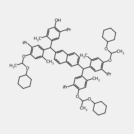 Cc1cc(O)c(C(C)C)cc1C(c1ccc2cc(C(c3cc(C(C)C)c(OC(C)OC4CCCCC4)cc3C)c3cc(C(C)C)c(OC(C)OC4CCCCC4)cc3C)ccc2c1)c1cc(C(C)C)c(OC(C)OC2CCCCC2)cc1C